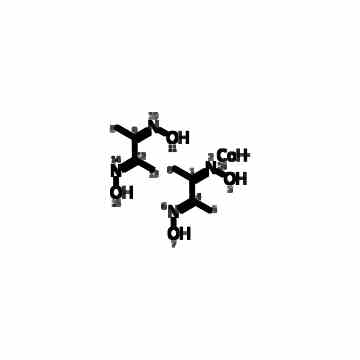 CC(=NO)C(C)=NO.CC(=NO)C(C)=NO.[CoH]